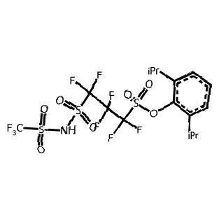 CC(C)c1cccc(C(C)C)c1OS(=O)(=O)C(F)(F)C(F)(F)C(F)(F)S(=O)(=O)NS(=O)(=O)C(F)(F)F